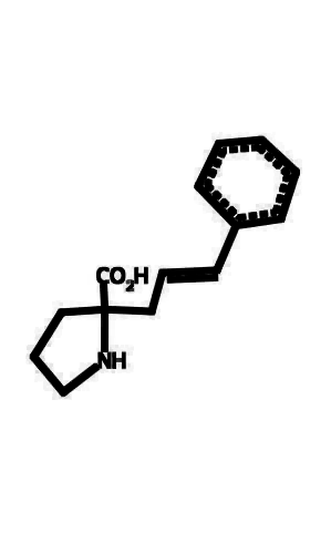 O=C(O)C1(CC=Cc2ccccc2)CCCN1